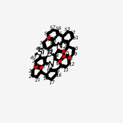 Cc1cc2c3c(c1)N(c1c(-c4ccccc4)cccc1-c1ccccc1)c1cccc4c1B3c1c(cccc1[Si]4(C)C)N2c1c(-c2ccccc2)cccc1-c1ccccc1